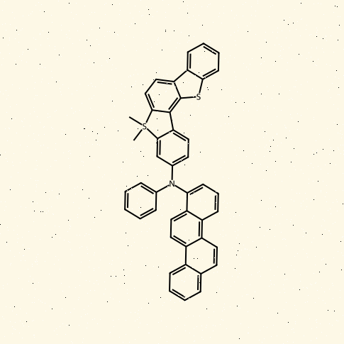 CS1(C)c2cc(N(c3ccccc3)c3cccc4c3ccc3c5ccccc5ccc43)ccc2-c2c1ccc1c2sc2ccccc21